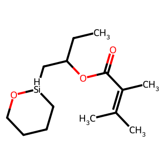 CCC(C[SiH]1CCCCO1)OC(=O)C(C)=C(C)C